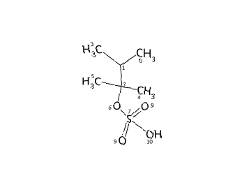 CC(C)C(C)(C)OS(=O)(=O)O